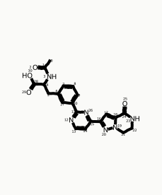 CC(=O)NC(Cc1cccc(-c2nccc(-c3cc4n(n3)CCNC4=O)n2)c1)C(=O)O